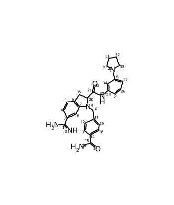 N=C(N)c1ccc2c(c1)N(Cc1ccc(C(N)=O)cc1)C(C(=O)Nc1cccc(N3CCCC3)c1)C2